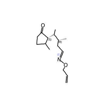 C=CCO/N=C/C[C@@H](C)C(C)[C@H]1C(=O)CCC1C